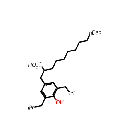 CCCCCCCCCCCCCCCCCC(Cc1cc(CC(C)C)c(O)c(CC(C)C)c1)C(=O)O